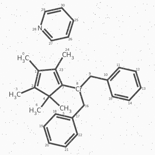 CC1=C(C)C(C)(C)[C]([Cr]([CH2]c2ccccc2)[CH2]c2ccccc2)=C1C.c1ccncc1